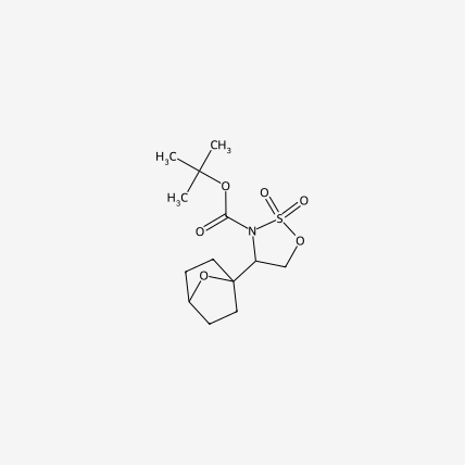 CC(C)(C)OC(=O)N1C(C23CCC(CC2)O3)COS1(=O)=O